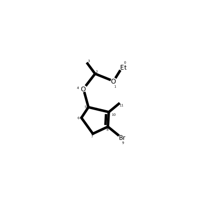 CCOC(C)OC1CCC(Br)=C1C